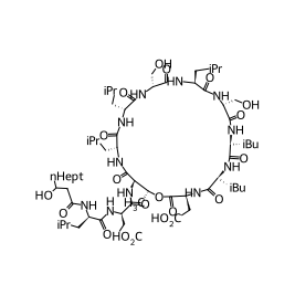 CCCCCCCC(O)CC(=O)N[C@H](CC(C)C)C(=O)N[C@H](CC(=O)O)C(=O)N[C@H]1C(=O)N[C@H](CC(C)C)C(=O)N[C@H](CC(C)C)C(=O)N[C@H](CO)C(=O)N[C@@H](CC(C)C)C(=O)N[C@H](CO)C(=O)N[C@@H]([C@@H](C)CC)C(=O)N[C@@H]([C@@H](C)CC)C(=O)N[C@@H](CC(=O)O)C(=O)O[C@@H]1C